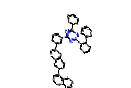 c1ccc(-c2nc(-c3cccc(-c4ccc5cc(-c6cccc7ccccc67)ccc5c4)c3)nc(-c3ccccc3-c3ccccc3)n2)cc1